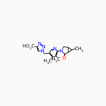 Cc1c(Cn2cc(C(=O)O)nn2)cnc(N2CC3C(C)C3C2=O)c1C